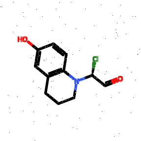 O=C[C@H](Cl)N1CCCc2cc(O)ccc21